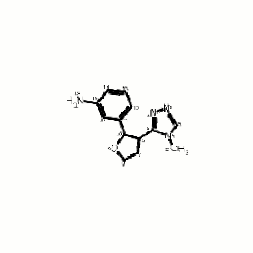 Cn1cnnc1C1CCOC1c1cccc(N)c1